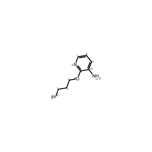 CC(C)CCCOc1ncccc1N